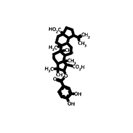 C=C(C)C1CCC2(C(=O)O)CCC3(C)C(CCC4C5(C)C(C(=O)O)C(OC(=O)c6ccc(O)c(O)c6)C(C)(C)C5CCC43C)C12